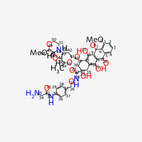 COc1cccc2c1C(=O)c1c(O)c3c(c(O)c1C2=O)C[C@@](O)(C(=O)NOCc1ccc(NC(=O)CN)cc1)C[C@@H]3O[C@H]1C[C@H]2[C@H](O[C@@H]3[C@@H](OC)OCCN32)[C@H](C)O1